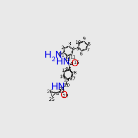 Nc1ccc(-c2ccccc2)cc1NC(=O)c1ccc(CNC(=O)C2CC2)cc1